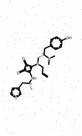 C=CCN(C[C@H](Cc1ccc(O)cc1)N(C)C)c1c(N[C@H](C)Cc2ccsc2)c(=O)c1=O